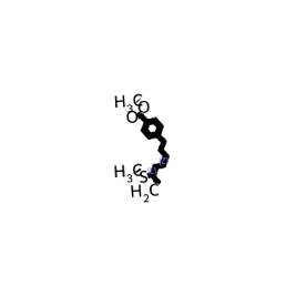 C=C/C(=C\C=C/CCc1ccc(C(=O)OC)cc1)SC